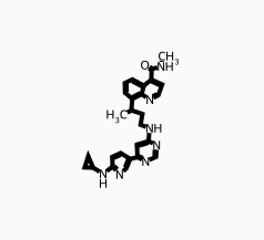 CNC(=O)c1ccnc2c(C(C)CCNc3cc(-c4ccc(NC5CC5)nc4)ncn3)cccc12